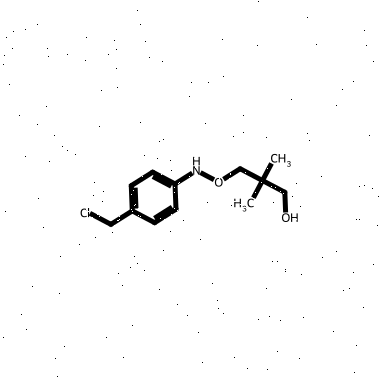 CC(C)(CO)CONc1ccc(CCl)cc1